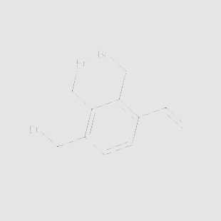 C=Cc1ccc(CBr)c(CBr)c1CBr